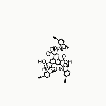 C#Cc1ccc(C#C)c(NC(=O)C2=C(C(=O)O)c3cc(C(=O)O)c(C(=O)Nc4cc(C#C)ccc4C#C)c4cc(C(=O)Nc5cc(C#C)ccc5C#C)c(C(=O)O)c(c34)C2)c1